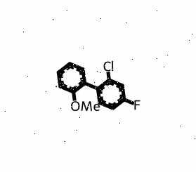 COc1[c]cccc1-c1ccc(F)cc1Cl